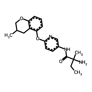 CCC(C)(N)C(=O)Nc1ccc(Oc2cccc3c2CC(C)CO3)nc1